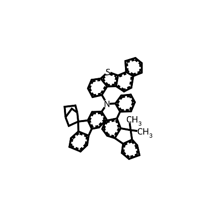 CC1(C)c2ccccc2-c2cccc(-c3ccccc3N(c3ccc4c(c3)C3(CC5CCC3C5)c3ccccc3-4)c3cccc4sc5c6ccccc6ccc5c34)c21